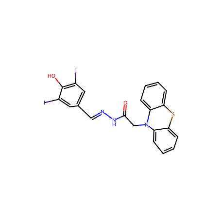 O=C(CN1c2ccccc2Sc2ccccc21)NN=Cc1cc(I)c(O)c(I)c1